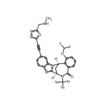 [2H]C([2H])([2H])N1C(=O)c2cccc(OC(F)F)c2[C@H]2C[C@@H]1c1nc3ccc(C#Cc4nnc(CNC)s4)cc3n12